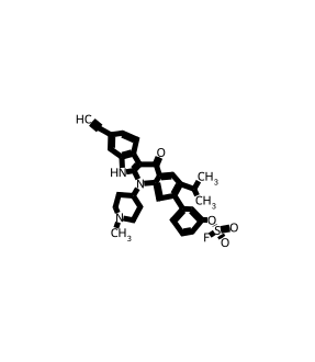 C#Cc1ccc2c(c1)[nH]c1c2c(=O)c2cc(C(C)C)c(-c3cccc(OS(=O)(=O)F)c3)cc2n1C1CCN(C)CC1